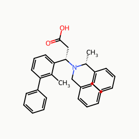 Cc1c(-c2ccccc2)cccc1[C@H](CC(=O)O)N(Cc1ccccc1)[C@H](C)c1ccccc1